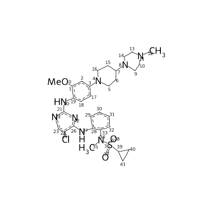 COc1cc(N2CCC(N3CCN(C)CC3)CC2)ccc1Nc1ncc(Cl)c(Nc2ccccc2N(C)S(=O)(=O)C2CC2)n1